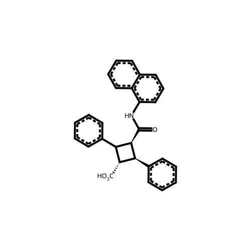 O=C(O)[C@@H]1C(c2ccccc2)[C@@H](C(=O)Nc2cccc3ccccc23)[C@H]1c1ccccc1